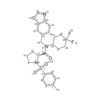 Cc1ccc(S(=O)(=O)N2CCC[C@H]2C(=O)N(Cc2ccc3ncoc3c2)C2CCC(F)(F)CC2)cc1